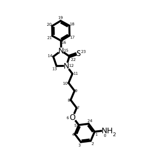 Nc1cccc(OCCCCCN2CCN(c3ccccc3)C2=S)c1